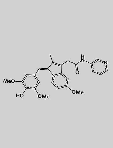 COc1ccc2c(c1)C(CC(=O)Nc1cccnc1)=C(C)/C2=C/c1cc(OC)c(O)c(OC)c1